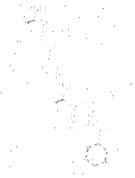 CC(c1ccccc1)N1CCN(C(=O)NCCCCCCC(N)=O)CC1